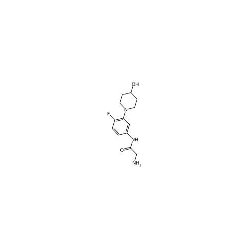 NCC(=O)Nc1ccc(F)c(N2CCC(O)CC2)c1